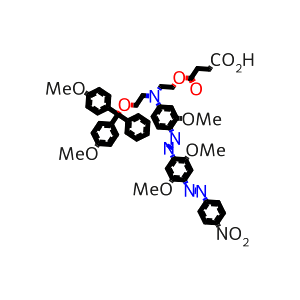 COc1ccc(C(OCCN(CCOC(=O)CCC(=O)O)c2ccc(N=Nc3cc(OC)c(N=Nc4ccc([N+](=O)[O-])cc4)cc3OC)c(OC)c2)(c2ccccc2)c2ccc(OC)cc2)cc1